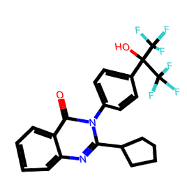 O=c1c2ccccc2nc(C2CCCC2)n1-c1ccc(C(O)(C(F)(F)F)C(F)(F)F)cc1